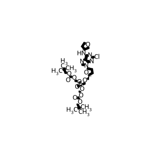 CC(C)(C)COC(=O)OCOP(=O)(COC[C@@H]1CC[C@H](n2cnc3c(N[C@H]4CCOC4)nc(Cl)nc32)O1)OCOC(=O)OCC(C)(C)C